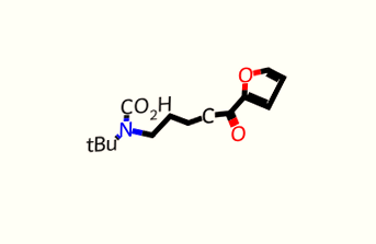 CC(C)(C)N(CCCCC(=O)c1ccco1)C(=O)O